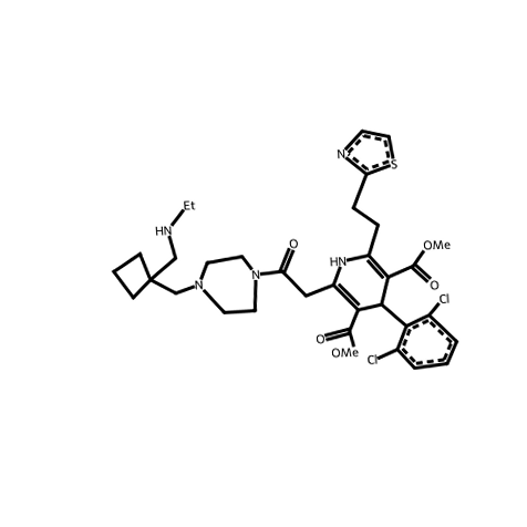 CCNCC1(CN2CCN(C(=O)CC3=C(C(=O)OC)C(c4c(Cl)cccc4Cl)C(C(=O)OC)=C(CCc4nccs4)N3)CC2)CCC1